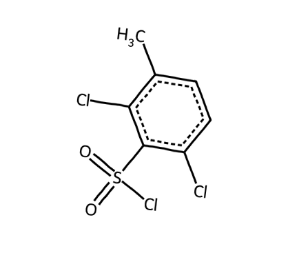 Cc1ccc(Cl)c(S(=O)(=O)Cl)c1Cl